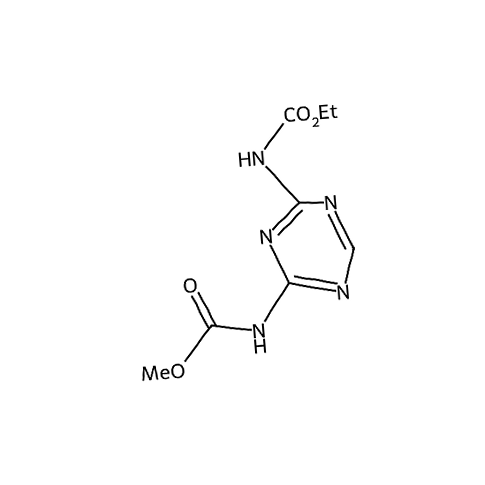 CCOC(=O)Nc1ncnc(NC(=O)OC)n1